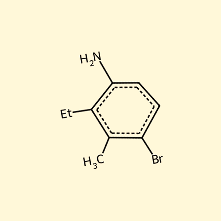 CCc1c(N)ccc(Br)c1C